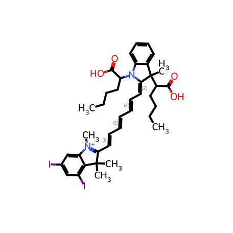 CCCCC(C(=O)O)N1\C(=C/C=C/C=C/C=C/C2=[N+](C)c3cc(I)cc(I)c3C2(C)C)C(C)(C(CCCC)C(=O)O)c2ccccc21